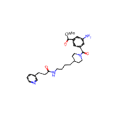 COC(=O)c1cc(N)cc(C(=O)N2CCC(CCCCNC(=O)CCc3cccnc3)CC2)c1